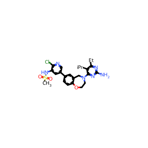 CCc1nc(N)nc(N2CCOc3ccc(-c4cnc(Cl)c(NS(C)(=O)=O)c4)cc3C2)c1C(C)C